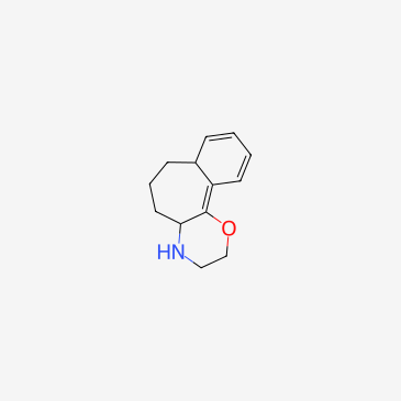 C1=CC2=C3OCCNC3CCCC2C=C1